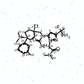 CC[C@]1(CN(C(N)=O)c2cc(C(C)(F)P)nn2CC(=O)N(C)C)CC[C@](c2cccc(C)c2)(N(C)C)CC1